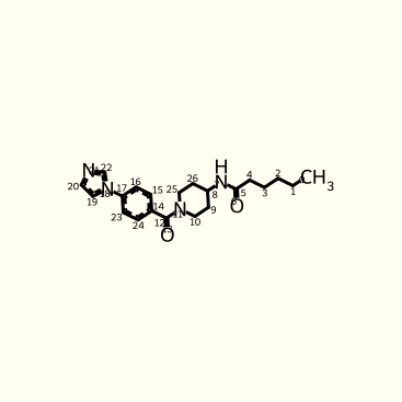 CCCCCC(=O)NC1CCN(C(=O)c2ccc(-n3ccnc3)cc2)CC1